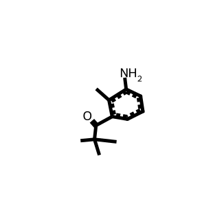 Cc1c(N)cccc1C(=O)C(C)(C)C